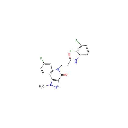 Cn1ncc2c(=O)n(CCC(=O)Nc3cccc(F)c3F)c3cc(F)ccc3c21